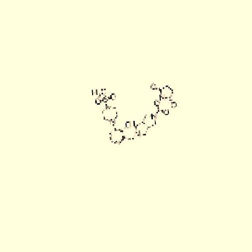 Cc1c(CN2CC3CN(C(=O)ON4C(=O)CCC4=O)CC3C2)cccc1N1CCN(S(C)(=O)=O)CC1